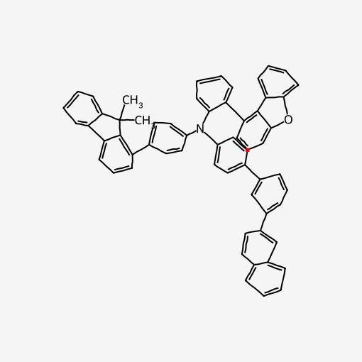 CC1(C)c2ccccc2-c2cccc(-c3ccc(N(c4ccc(-c5cccc(-c6ccc7ccccc7c6)c5)cc4)c4ccccc4-c4cccc5oc6ccccc6c45)cc3)c21